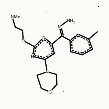 CNCCOc1nc(C(=NN)c2cccc(C)c2)cc(N2CCOCC2)n1